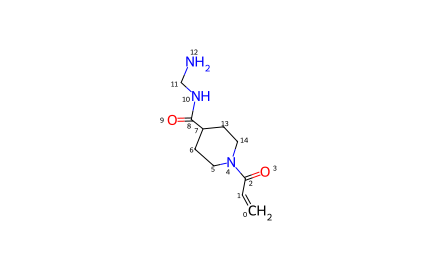 C=CC(=O)N1CCC(C(=O)NCN)CC1